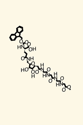 COC(=O)CNC(=O)CNC(=O)CNC(=O)CNC(=O)C[C@@H]1O[C@H](CNC(=O)CC[C@H](NC(=O)OCC2c3ccccc3-c3ccccc32)C(=O)O)[C@@H](O)[C@H]1O